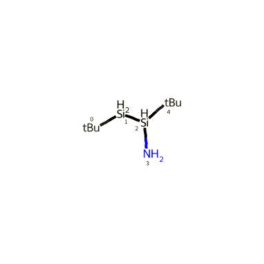 CC(C)(C)[SiH2][SiH](N)C(C)(C)C